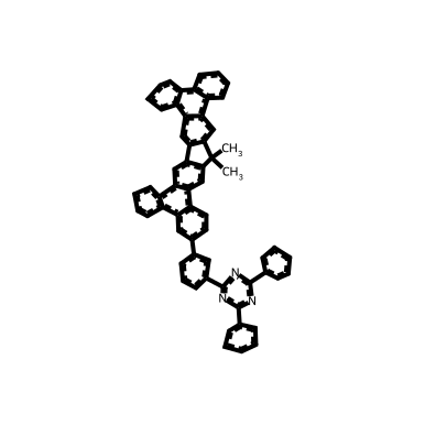 CC1(C)c2cc3c4ccccc4c4ccccc4c3cc2-c2cc3c4ccccc4c4cc(-c5cccc(-c6nc(-c7ccccc7)nc(-c7ccccc7)n6)c5)ccc4c3cc21